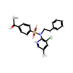 COC(=O)c1ccc(S(=O)(=O)N(CCc2ccccc2)c2ncc(C(F)(F)F)cc2Cl)cc1